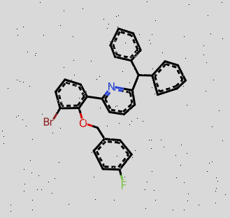 Fc1ccc(COc2c(Br)cccc2-c2cccc(C(c3ccccc3)c3ccccc3)n2)cc1